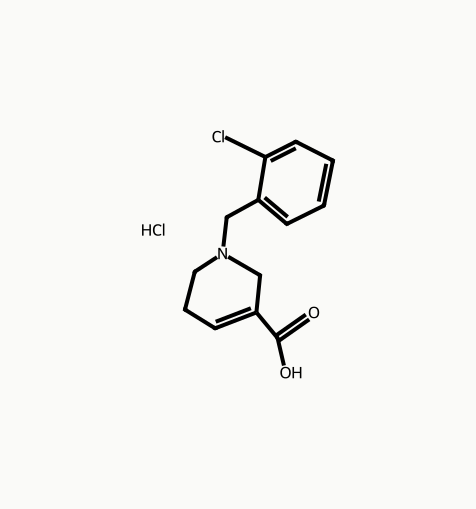 Cl.O=C(O)C1=CCCN(Cc2ccccc2Cl)C1